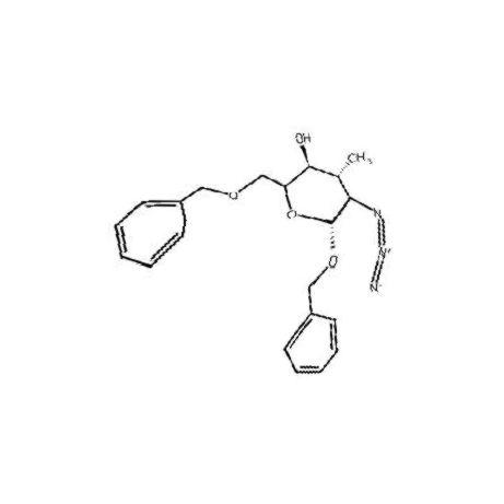 C[C@@H]1C(N=[N+]=[N-])[C@H](OCc2ccccc2)OC(COCc2ccccc2)[C@H]1O